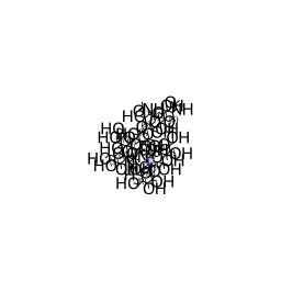 CC(=O)N/C(=C(\O)[C@@H](CCO)O[C@@H]1OC(CO)[C@H](CO)C(O)C1O)[C@@H](O)OC1C(O)[C@H](O)C(CO)O[C@@H]1OCC1O[C@@H](O[C@@H]2C(CO)O[C@@H](O[C@@H]3C(CO)O[C@@H](C)C(NC(C)=O)C3O)C(NC(C)=O)C2O)C(O)C(O[C@H]2O[C@H](CO)[C@@H](O)C(O)C2O[C@@H]2OC(CO)[C@@H](O)C(O)C2NC(C)=O)[C@@H]1O